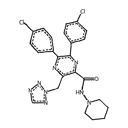 O=C(NN1CCCCC1)c1nc(-c2ccc(Cl)cc2)c(-c2ccc(Cl)cc2)nc1Cn1ncnn1